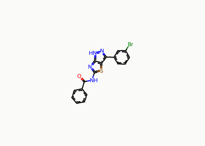 O=C(Nc1nc2[nH]nc(-c3cccc(Br)c3)c2s1)c1ccccc1